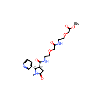 CN1C(=O)C[C@H](C(=O)NCCOCC(=O)NCCOCC(=O)OC(C)(C)C)[C@H]1c1cccnc1